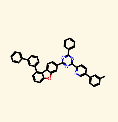 Cc1cccc(-c2ccc(-c3nc(-c4ccccc4)nc(-c4ccc5c(c4)oc4cccc(-c6cccc(-c7ccccc7)c6)c45)n3)nc2)c1